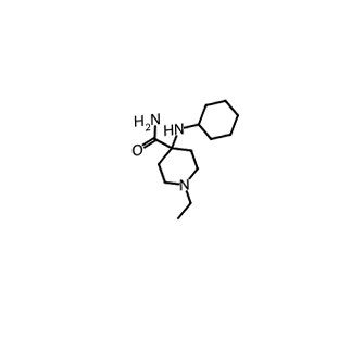 CCN1CCC(NC2CCCCC2)(C(N)=O)CC1